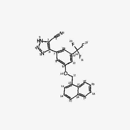 N#Cc1[nH]nnc1-c1cc(OCc2cccc3ccccc23)cc(C(F)(F)F)c1